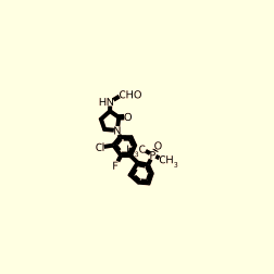 CP(C)(=O)c1ccccc1-c1ccc(N2CCC(NC=O)C2=O)c(Cl)c1F